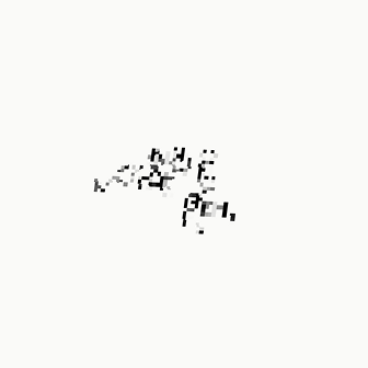 Cc1cc(C#N)ccc1-c1cnn(-c2ccc(C(=O)N3CC[C@@H](N(C)C)C3)cn2)c1O